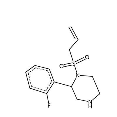 C=CCS(=O)(=O)N1CCNCC1c1ccccc1F